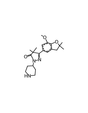 COc1cc(C2=NN(C3CCNCC3)C(=O)C2(C)C)cc2c1OC(C)(C)C2